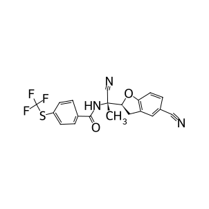 C[C@](C#N)(NC(=O)c1ccc(SC(F)(F)F)cc1)[C@@H]1Cc2cc(C#N)ccc2O1